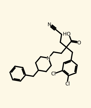 N#CCCC(CCN1CCC(Cc2ccccc2)CC1)(Cc1ccc(Cl)c(Cl)c1)C(=O)O